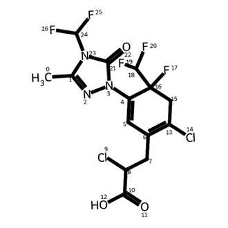 Cc1nn(C2=CC(CC(Cl)C(=O)O)=C(Cl)CC2(F)C(F)F)c(=O)n1C(F)F